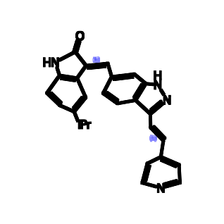 CC(C)c1ccc2c(c1)/C(=C\c1ccc3c(/C=C/c4ccncc4)n[nH]c3c1)C(=O)N2